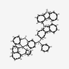 c1ccc(N(c2ccc3c(c2)Sc2ccccc2C32c3ccccc3-c3cccc4cccc2c34)c2ccc3c(c2)c2ccccc2n3-c2cccc3oc4ccccc4c23)cc1